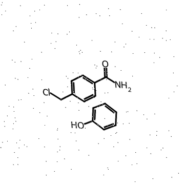 NC(=O)c1ccc(CCl)cc1.Oc1ccccc1